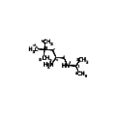 CC(C)NCC(N)CC(C)(C)C